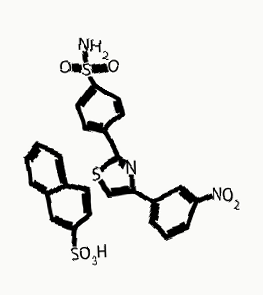 NS(=O)(=O)c1ccc(-c2nc(-c3cccc([N+](=O)[O-])c3)cs2)cc1.O=S(=O)(O)c1ccc2ccccc2c1